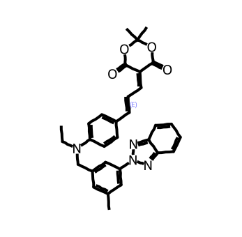 CCN(Cc1cc(C)cc(-n2nc3ccccc3n2)c1)c1ccc(/C=C/C=C2C(=O)OC(C)(C)OC2=O)cc1